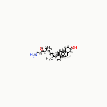 CC(CCC[C@@H](C)[C@H]1CC[C@H]2[C@@H]3CC=C4C[C@@H](O)CC[C@]4(C)[C@H]3CC[C@]12C)CC(=O)CCN